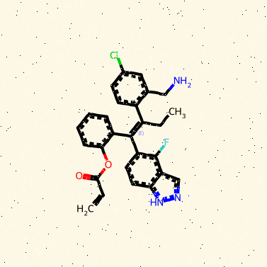 C=CC(=O)Oc1ccccc1/C(=C(/CC)c1ccc(Cl)cc1CN)c1ccc2[nH]ncc2c1F